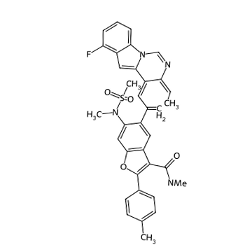 C=C(/C=c1\c(=C/C)ncn2c1cc1c(F)cccc12)c1cc2c(C(=O)NC)c(-c3ccc(C)cc3)oc2cc1N(C)S(C)(=O)=O